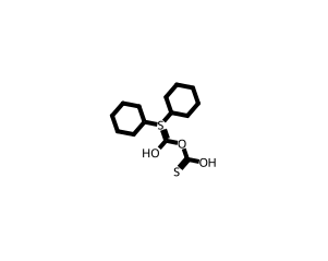 OC(=S)OC(O)=S(C1CCCCC1)C1CCCCC1